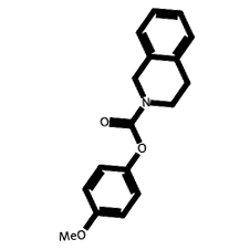 COc1ccc(OC(=O)N2CCc3ccccc3C2)cc1